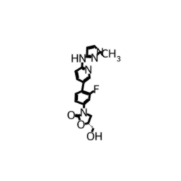 Cn1ccc(Nc2ccc(-c3ccc(N4C[C@H](CO)OC4=O)cc3F)cn2)n1